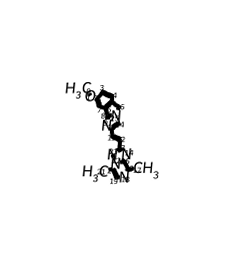 COc1ccc2c(c1)-c1nc(/C=C/c3nc4c(C)ncc(C)n4n3)cn1C2